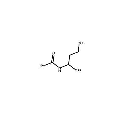 CC(C)C(=O)NC(CCC(C)(C)C)C(C)(C)C